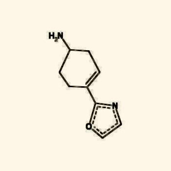 NC1CC=C(c2ncco2)CC1